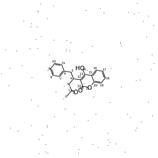 CC(=O)CC(Cc1ccccc1)c1c(O)c2ccccc2oc1=O